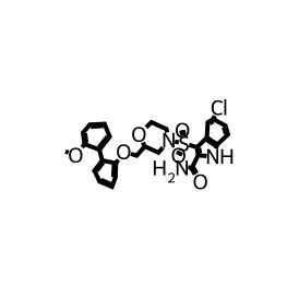 COc1ccccc1-c1ccccc1OCC1CN(S(=O)(=O)c2c(C(N)=O)[nH]c3ccc(Cl)cc23)CCO1